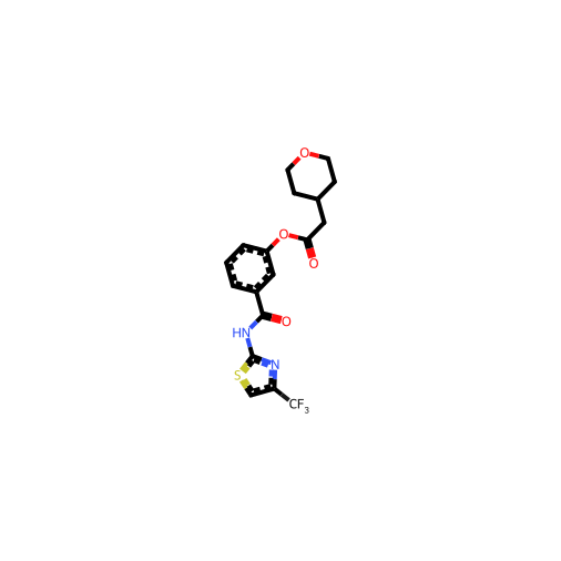 O=C(CC1CCOCC1)Oc1cccc(C(=O)Nc2nc(C(F)(F)F)cs2)c1